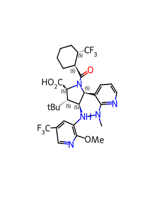 COc1ncc(C(F)(F)F)cc1N[C@H]1[C@H](C(C)(C)C)[C@@H](C(=O)O)N(C(=O)[C@H]2CCCC[C@@H]2C(F)(F)F)[C@H]1c1cccnc1N(C)C